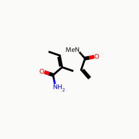 C=CC(=O)NC.CC=C(C)C(N)=O